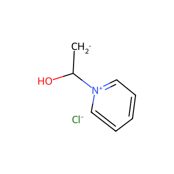 [CH2]C(O)[n+]1ccccc1.[Cl-]